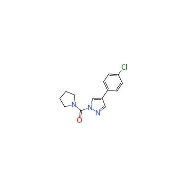 O=C(N1CCCC1)n1cc(-c2ccc(Cl)cc2)cn1